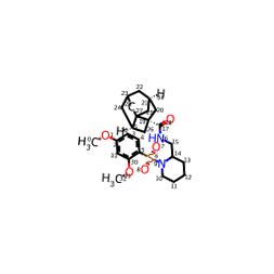 COc1ccc(S(=O)(=O)N2CCCCC2CNC(=O)[C@]23C[C@@H]4CC5C[C@H](C2)C3(C5)C4)c(OC)c1